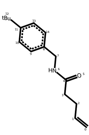 C=CCCC(=O)NCc1ccc(C(C)(C)C)cc1